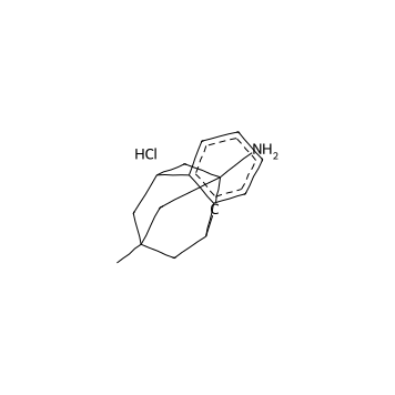 CC12CC3CC(N)(CC(C1)c1ccccc13)C2.Cl